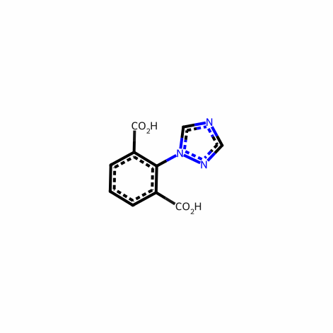 O=C(O)c1cccc(C(=O)O)c1-n1cncn1